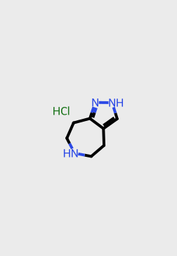 Cl.c1[nH]nc2c1CCNCC2